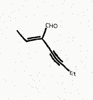 CC=C(C#CCC)C=O